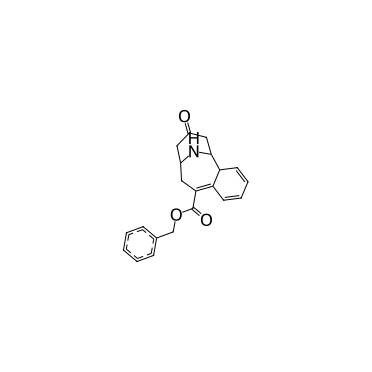 O=C1CC2CC(C(=O)OCc3ccccc3)=C3C=CC=CC3C(C1)N2